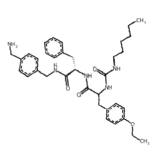 CCCCCCNC(=O)NC(Cc1ccc(OCC)cc1)C(=O)N[C@@H](Cc1ccccc1)C(=O)NCc1ccc(CN)cc1